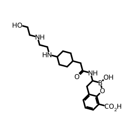 O=C(CC1CCC(NCCNCCO)CC1)NC1Cc2cccc(C(=O)O)c2OB1O